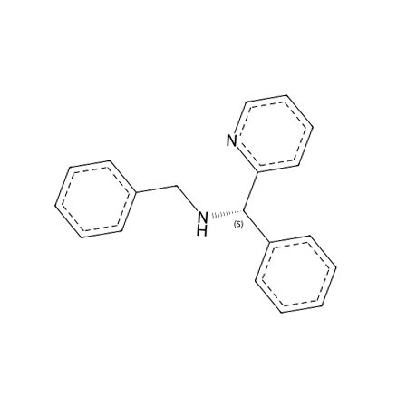 c1ccc(CN[C@@H](c2ccccc2)c2ccccn2)cc1